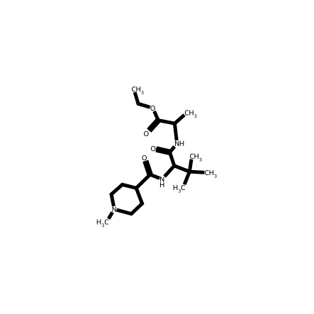 CCOC(=O)C(C)NC(=O)C(NC(=O)C1CCN(C)CC1)C(C)(C)C